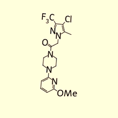 COc1cccc(N2CCN(C(=O)Cn3nc(C(F)(F)F)c(Cl)c3C)CC2)n1